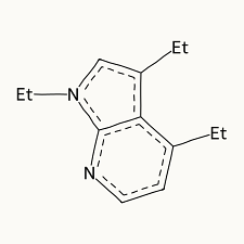 CCc1ccnc2c1c(CC)cn2CC